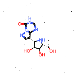 O=c1[nH]cnc2c([C@@H]3N[C@H](CO)[C@@H](O)[C@H]3O)cnn12